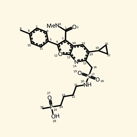 CNC(=O)c1c(-c2ccc(C)cc2)oc2nc(CS(=O)(=O)NCCCCP(C)(=O)O)c(C3CC3)cc12